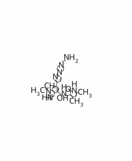 Cc1cc(C)c(CNC(O)c2cc(-c3ccc(N4CCN(CCN)CC4)nc3)cc(NC(C)C)c2C=N)c(=O)[nH]1